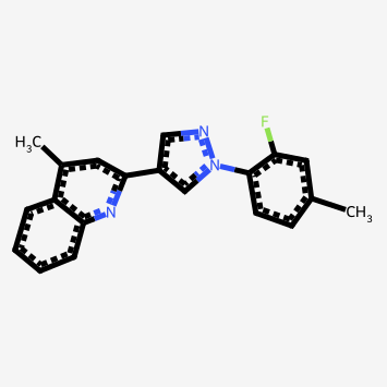 Cc1ccc(-n2cc(-c3cc(C)c4ccccc4n3)cn2)c(F)c1